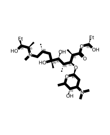 CC[C@H](O)OC(=O)[C@H](C)[C@@H](O[C@H]1CC(N(C)C)[C@H](O)C(C)O1)[C@H](C)[C@@H](O)[C@](C)(O)C[C@@H](C)CN(C)[C@H](C)[C@@H](O)CC